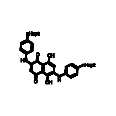 CCCCCCCc1ccc(NC2=CC(=O)c3c(O)c(Nc4ccc(CCCCCCC)cc4)cc(O)c3C2=O)cc1